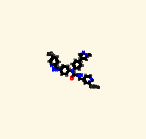 COc1cc(CNC(=O)N(c2ccc(-c3cnn(C)c3)cc2)[C@H]2CC[C@H](Nc3ccc(C#N)cn3)CC2)ccn1